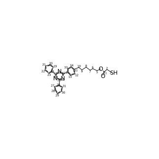 O=C(CS)OCCCCCCc1ccc(-c2nc(-c3ccccc3)nc(-c3ccccc3)n2)cc1